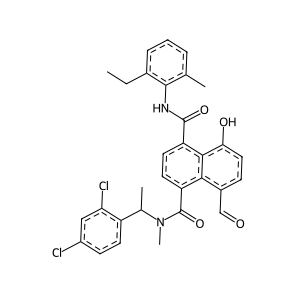 CCc1cccc(C)c1NC(=O)c1ccc(C(=O)N(C)C(C)c2ccc(Cl)cc2Cl)c2c(C=O)ccc(O)c12